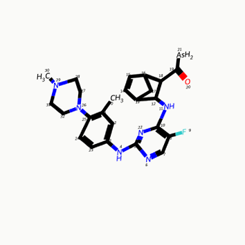 Cc1cc(Nc2ncc(F)c(NC3C4C=CC(C4)C3C(=O)[AsH2])n2)ccc1N1CCN(C)CC1